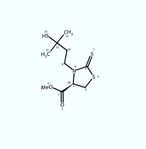 COC(=O)[C@@H]1CSC(=S)N1CCC(C)(C)S